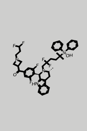 C[C@@H]1Cc2c([nH]c3ccccc23)[C@@H](c2c(F)cc(C(=O)C3CN(CCC(F)F)C3)cc2F)N1CC(F)(F)CCC(C)(C)[Si](O)(c1ccccc1)c1ccccc1